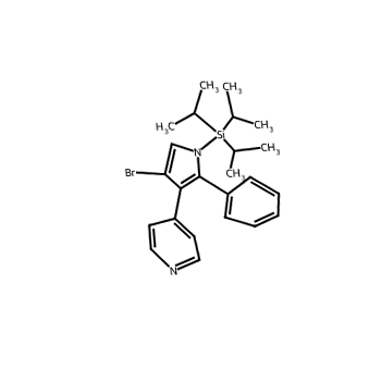 CC(C)[Si](C(C)C)(C(C)C)n1cc(Br)c(-c2ccncc2)c1-c1ccccc1